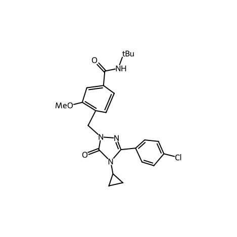 COc1cc(C(=O)NC(C)(C)C)ccc1Cn1nc(-c2ccc(Cl)cc2)n(C2CC2)c1=O